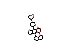 c1cncc(-c2ccc(-c3c4ccccc4c(-c4cccc5cccc(-c6ccncc6)c45)c4ccccc34)cc2)c1